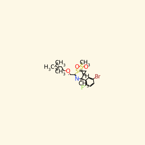 C[C@]1(c2cc(Br)ccc2F)N=C([CH]OCC[Si](C)(C)C)S[C@@]2(S(C)(=O)=O)C[C@H]21